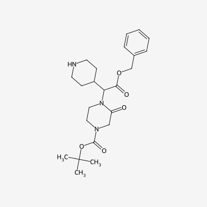 CC(C)(C)OC(=O)N1CCN(C(C(=O)OCc2ccccc2)C2CCNCC2)C(=O)C1